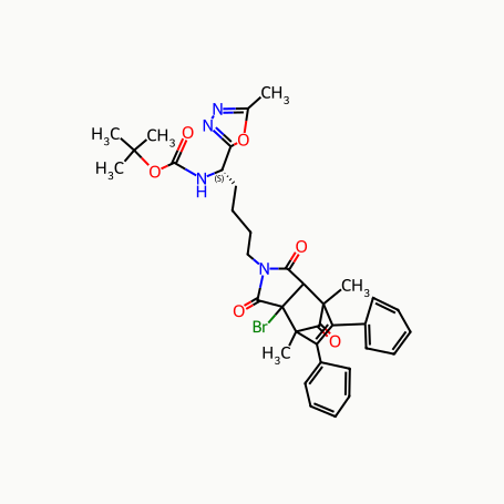 Cc1nnc([C@H](CCCCN2C(=O)C3C4(C)C(=O)C(C)(C(c5ccccc5)=C4c4ccccc4)C3(Br)C2=O)NC(=O)OC(C)(C)C)o1